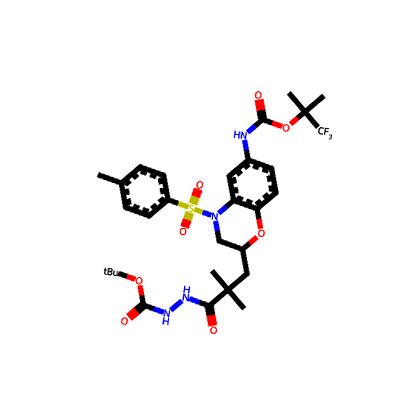 Cc1ccc(S(=O)(=O)N2CC(CC(C)(C)C(=O)NNC(=O)OC(C)(C)C)Oc3ccc(NC(=O)OC(C)(C)C(F)(F)F)cc32)cc1